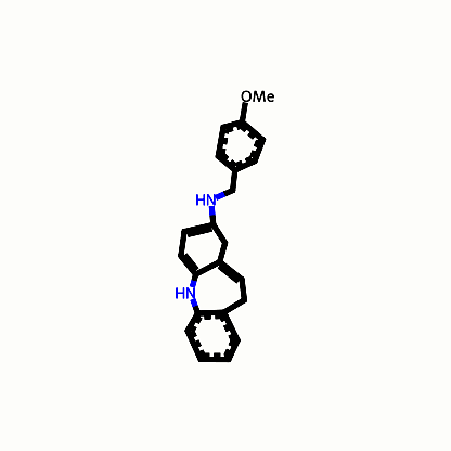 COc1ccc(CNC2=CC=C3Nc4ccccc4CC=C3C2)cc1